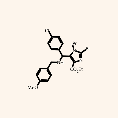 CCOC(=O)c1nc(Br)n(C(C)C)c1C(NCc1ccc(OC)cc1)c1ccc(Cl)cc1